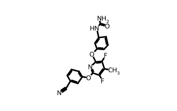 Cc1c(F)c(Oc2cccc(C#N)c2)nc(Oc2cccc(NC(N)=O)c2)c1F